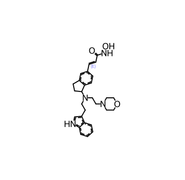 O=C(/C=C/c1ccc2c(c1)CCC2N(CCc1c[nH]c2ccccc12)CCN1CCOCC1)NO